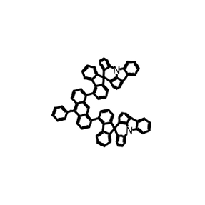 c1ccc(-c2c3cccc(-c4cccc5c4-c4ccccc4C54c5ccccc5-n5c6ccccc6c6cccc4c65)c3cc3c(-c4cccc5c4-c4ccccc4C54c5ccccc5-n5c6ccccc6c6cccc4c65)cccc23)cc1